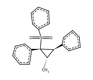 C[C@H]1[C@H](c2ccccc2)[C@@]1(c1ccccc1)S(=O)(=O)c1ccccc1